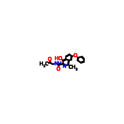 CC(=O)CNC(=O)c1nc(C)c2cc(Oc3ccccc3)ccc2c1O